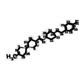 C[C@H]1CC[C@H]([C@H]2CC[C@H](C=C[C@H]3CC[C@H](CCc4ccc(F)cc4)CC3)CC2)CC1